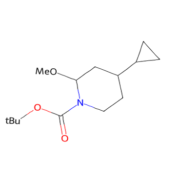 COC1CC(C2CC2)CCN1C(=O)OC(C)(C)C